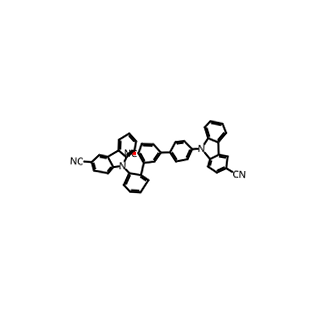 N#Cc1ccc2c(c1)c1ccccc1n2-c1ccc(-c2ccc(C#N)c(-c3ccccc3-n3c4ccccc4c4cc(C#N)ccc43)c2)cc1